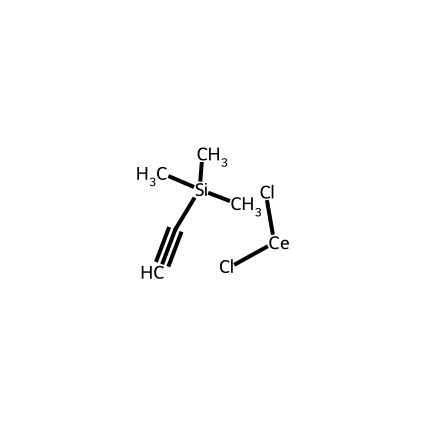 C#C[Si](C)(C)C.[Cl][Ce][Cl]